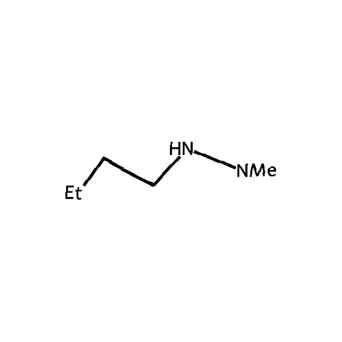 CCCCNNC